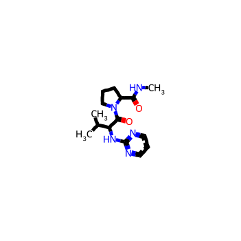 CNC(=O)C1CCCN1C(=O)C(Nc1ncccn1)C(C)C